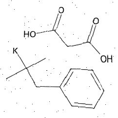 C[C](C)([K])Cc1ccccc1.O=C(O)CC(=O)O